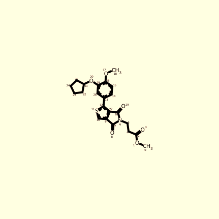 COC(=O)CCN1C(=O)c2csc(-c3ccc(OC)c(OC4CCCC4)c3)c2C1=O